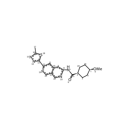 CO[C@H]1CC[C@@H](C(=O)Nc2cc3cc(-c4nnc(C)s4)ncc3cn2)CC1